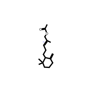 C=C1CCCC(C)(C)C1CC/C=C(\C)COC(C)=O